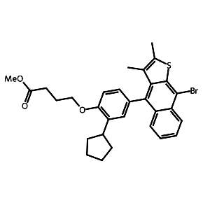 COC(=O)CCCOc1ccc(-c2c3ccccc3c(Br)c3sc(C)c(C)c23)cc1C1CCCC1